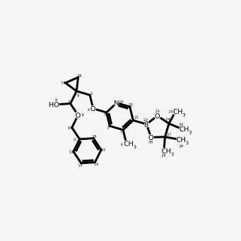 Cc1cc(OCC2(C(O)OCc3ccccc3)CC2)ncc1B1OC(C)(C)C(C)(C)O1